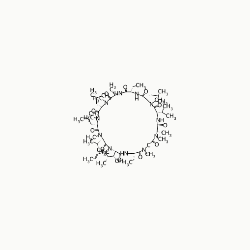 C/C=C/C[C@@H](C)[C@@H](O)[C@H]1C(=O)N[C@@H](CC)C(=O)N(C)CC(=O)N(C)[C@@H](C)C(=O)N[C@@H](C(C)C)C(=O)N(C)[C@@H](CC(C)C)C(=O)N[C@@H](CC)C(=O)N[C@H](C)C(=O)N(C)[C@@H](CC(C)C)C(=O)N(C)[C@@H](CC(C)C)C(=O)N(C)[C@@H](C(C)C)C(=O)N1C